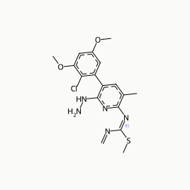 C=N/C(=N\c1nc(NN)c(-c2cc(OC)cc(OC)c2Cl)cc1C)SC